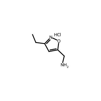 CCc1cc(CN)on1.Cl